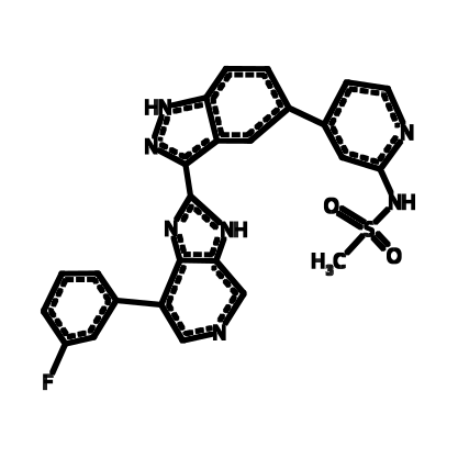 CS(=O)(=O)Nc1cc(-c2ccc3[nH]nc(-c4nc5c(-c6cccc(F)c6)cncc5[nH]4)c3c2)ccn1